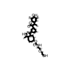 CC1=C2CCCC(OC(=O)NCCOCCO)CCC2C(c2cccc(-c3c(C)c4cc(F)c(O)c(F)c4oc3=O)c2)=NN1